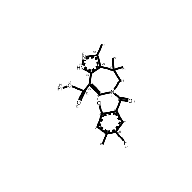 Cc1cc(Cl)c(C(=O)N2C=C(C(=O)OC(C)C)c3[nH]nc(C)c3C(C)(C)C2)cc1F